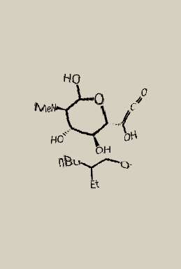 CCCCC(CC)C[O].CN[C@H]1C(O)O[C@H](C(O)=C=O)[C@@H](O)[C@@H]1O